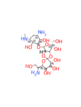 CN[C@@H]1C[C@H](N)[C@@H](O)[C@H](OC2O[C@H](CO)[C@H](O)C3OC4(O[C@@H]23)O[C@H](C(N)CO)[C@H](O)[C@H](O)[C@H]4O)[C@H]1O